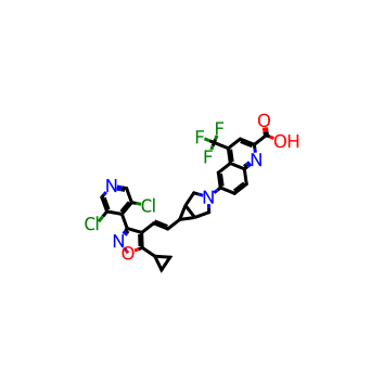 O=C(O)c1cc(C(F)(F)F)c2cc(N3CC4C(C=Cc5c(-c6c(Cl)cncc6Cl)noc5C5CC5)C4C3)ccc2n1